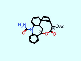 CC(=O)O[C@H]1C(=O)O[C@H]2CC3C(=CC=CC34C=CC1=C4)N(C(N)=O)c1ccccc12